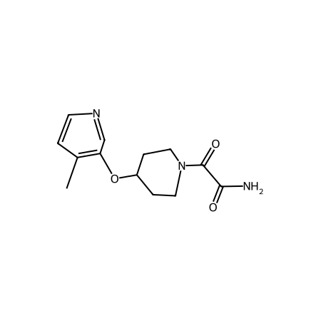 Cc1ccncc1OC1CCN(C(=O)C(N)=O)CC1